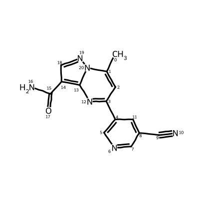 Cc1cc(-c2cncc(C#N)c2)nc2c(C(N)=O)cnn12